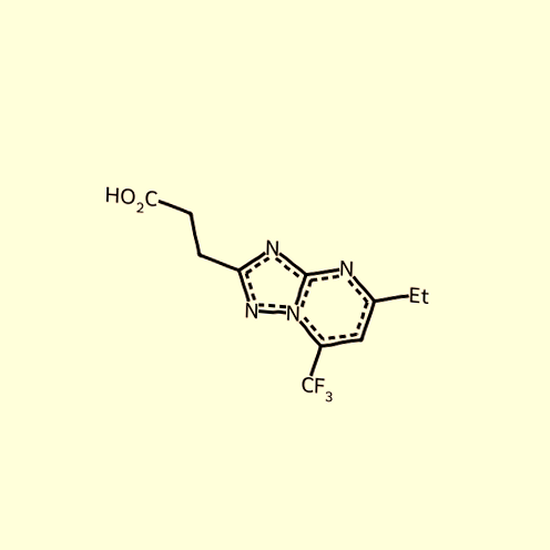 CCc1cc(C(F)(F)F)n2nc(CCC(=O)O)nc2n1